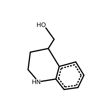 OCC1CCNc2ccccc21